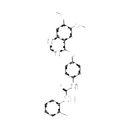 COc1cc2ncnc(Oc3ccc(NC(=O)Nc4ccccc4C)cc3)c2cc1OC